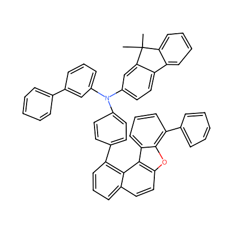 CC1(C)c2ccccc2-c2ccc(N(c3ccc(-c4cccc5ccc6oc7c(-c8ccccc8)cccc7c6c45)cc3)c3cccc(-c4ccccc4)c3)cc21